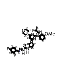 COc1cccc2c1nc(C(F)F)n2-c1nc(N2CCOCC2)cc(N2CCC(NC(=O)N/N=C/c3ccc(F)cc3F)C2)n1